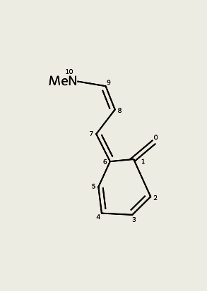 C=c1cccc/c1=C/C=C\NC